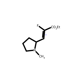 CCOC(=O)/C(F)=C/C1CCCN1C